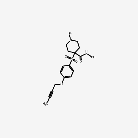 CC#CCOc1ccc(S(=O)(=O)C2(C(=O)NO)CCN(C(C)C)CC2)cc1